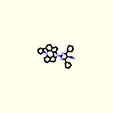 N#Cc1c(-c2ccccc2)nc(-n2c3ccc4cccc5c4c3c3c4c(ccc6c7ccccc7n5c64)ccc32)nc1-c1ccccc1